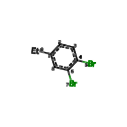 CCc1c[c]c(Br)c(Br)c1